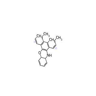 C/C=C\c1c(CC)c(C)c(/C=C\CC)c2c1OC1C=CC=CC1N2